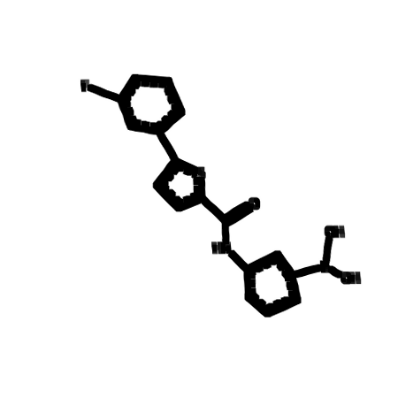 O=C(Nc1cccc(B(O)O)c1)c1ccc(-c2cccc(F)c2)s1